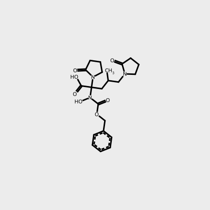 CC(CN1CCCC1=O)CC(C(=O)O)(N(O)C(=O)OCc1ccccc1)N1CCCC1=O